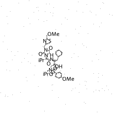 COCc1nc(CN2C(=O)CN([C@H](C(=O)N[C@@H](Cc3ccccc3)[C@H](O)CN(CC(C)C)S(=O)(=O)c3ccc(OC)cc3)C(C)C)C2=O)cs1